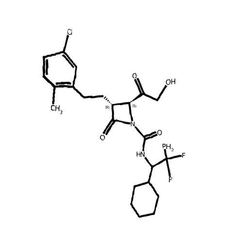 Cc1ccc(Cl)cc1CC[C@H]1C(=O)N(C(=O)NC(C2CCCCC2)C(F)(F)P)[C@@H]1C(=O)CO